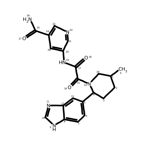 CC1CCC(c2ccc3[nH]cnc3c2)N(C(=O)C(=O)Nc2cncc(C(N)=O)c2)C1